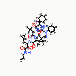 C=CCNC(=O)C(=O)C(CC1CC1)NC(=O)[C@@H]1[C@@H]2[C@H](CN1C(=O)[C@@H](NC(=O)[C@@H](NC(=O)Nc1ccccc1)C1(I)CCCCC1)C(C)(C)C)C2(C)C